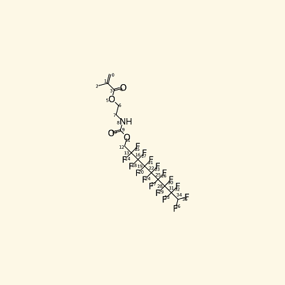 C=C(C)C(=O)OCCNC(=O)OCC(F)(F)C(F)(F)C(F)(F)C(F)(F)C(F)(F)C(F)(F)C(F)(F)C(F)F